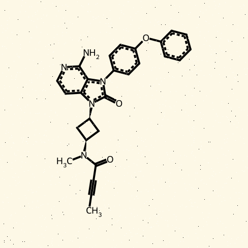 CC#CC(=O)N(C)[C@H]1C[C@@H](n2c(=O)n(-c3ccc(Oc4ccccc4)cc3)c3c(N)nccc32)C1